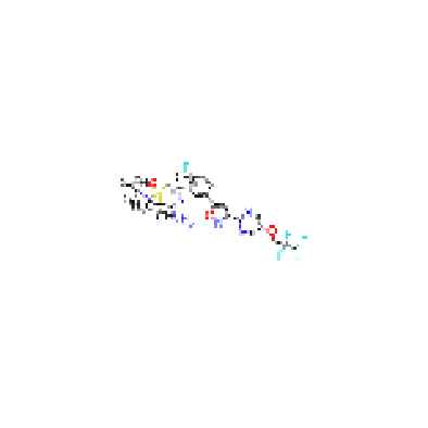 [2H]C([2H])([2H])N=S1(=O)C[C@@](C)(c2cc(-c3cc(-c4ncc(OCC(F)(F)C(F)F)cn4)no3)ccc2F)N=C(N)C1(C)C